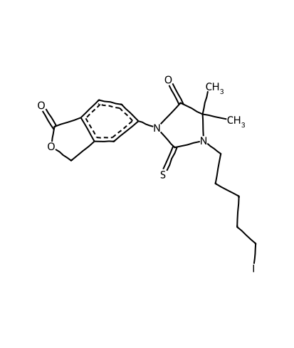 CC1(C)C(=O)N(c2ccc3c(c2)COC3=O)C(=S)N1CCCCCI